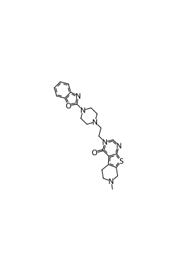 CN1CCc2c(sc3ncn(CCN4CCN(c5nc6ccccc6o5)CC4)c(=O)c23)C1